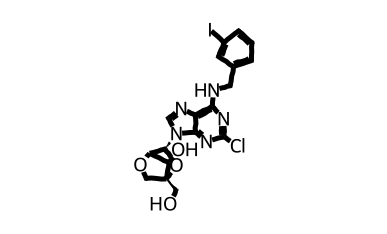 OC[C@@]12COC(C1O)[C@H](n1cnc3c(NCc4cccc(I)c4)nc(Cl)nc31)O2